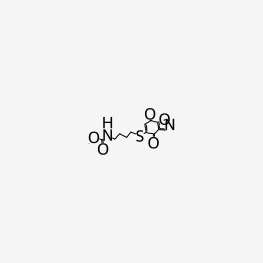 COC(=O)NCCCCSC1=CC(=O)c2oncc2C1=O